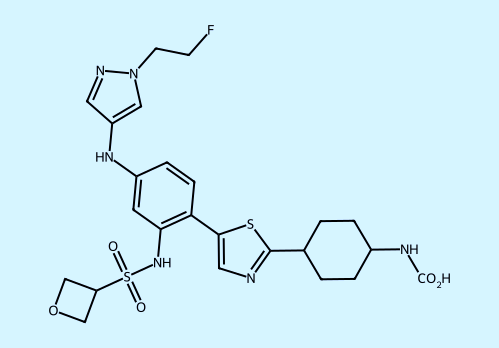 O=C(O)NC1CCC(c2ncc(-c3ccc(Nc4cnn(CCF)c4)cc3NS(=O)(=O)C3COC3)s2)CC1